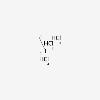 CI.Cl.Cl.Cl